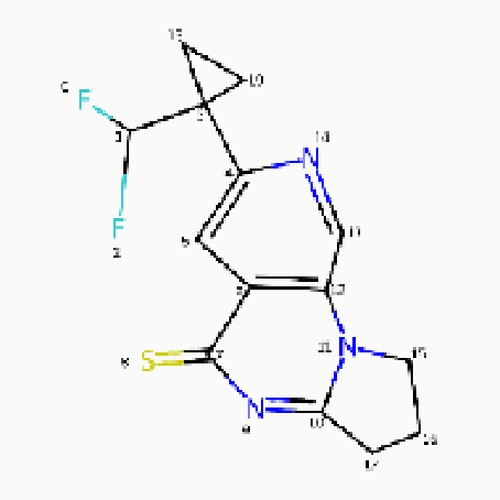 FC(F)C1(c2cc3c(=S)nc4n(c3cn2)CCC4)CC1